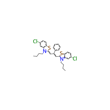 CCCCN1/C(=C/C(=C/c2sc3ccc(Cl)cc3[n+]2CCCC)c2ccccc2)Sc2ccc(Cl)cc21